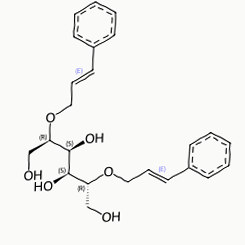 OC[C@@H](OC/C=C/c1ccccc1)[C@@H](O)[C@H](O)[C@@H](CO)OC/C=C/c1ccccc1